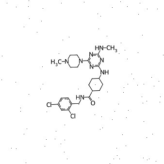 CNc1nc(NC2CCC(C(=O)NCc3ccc(Cl)cc3Cl)CC2)nc(N2CCN(C)CC2)n1